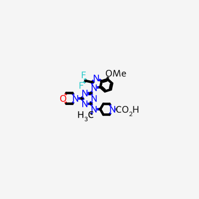 COc1cccc2c1nc(C(F)F)n2-c1nc(N2CCOCC2)nc(N(C)C2CCN(C(=O)O)CC2)n1